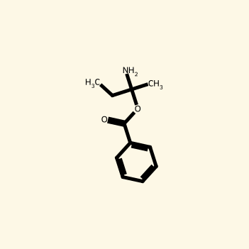 CCC(C)(N)OC(=O)c1ccccc1